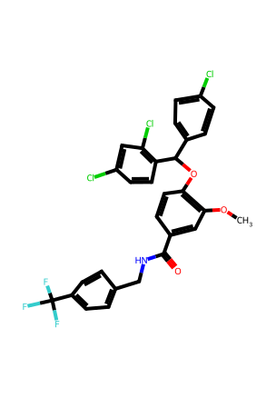 COc1cc(C(=O)NCc2ccc(C(F)(F)F)cc2)ccc1OC(c1ccc(Cl)cc1)c1ccc(Cl)cc1Cl